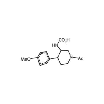 COc1ccc(C2CCN(C(C)=O)CC2NC(=O)O)cc1